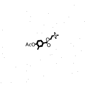 CC(=O)Oc1ccc(C(=O)OCCS(C)(C)C)cc1C